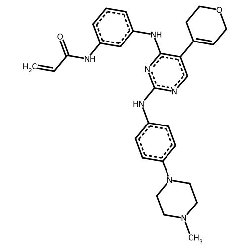 C=CC(=O)Nc1cccc(Nc2nc(Nc3ccc(N4CCN(C)CC4)cc3)ncc2C2=CCOCC2)c1